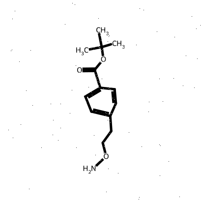 CC(C)(C)OC(=O)c1ccc(CCON)cc1